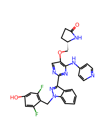 O=C1CC[C@@H](COc2cnc(-c3nn(Cc4c(F)cc(O)cc4F)c4ccccc34)nc2Nc2ccncc2)N1